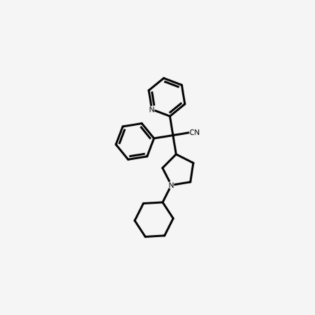 N#CC(c1ccccc1)(c1ccccn1)C1CCN(C2CCCCC2)C1